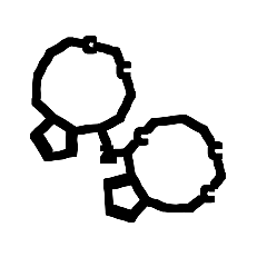 C1=CC2CCCCCCCCC[CH]([Zr][CH]3CCCCCCCCCC4C=CC=C43)C2=C1